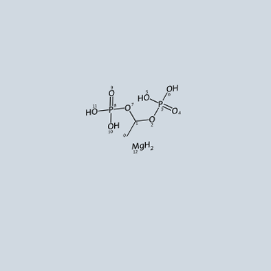 CC(OP(=O)(O)O)OP(=O)(O)O.[MgH2]